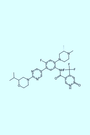 CC(C)C1CN(c2ncc(-c3cc(NC(=O)c4c[nH]c(=O)cc4C(F)(F)F)c(N4CCN(C)[C@@H](C)C4)cc3F)cn2)CCO1